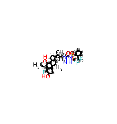 CC[C@@H]1[C@@H]2[C@@H](F)[C@H](O)CC[C@]2(C)C2CC[C@@]3(C)C(CCC3[C@H](C)CCNC(=O)NS(=O)(=O)c3ccccc3C(F)(F)F)C2[C@@H]1O